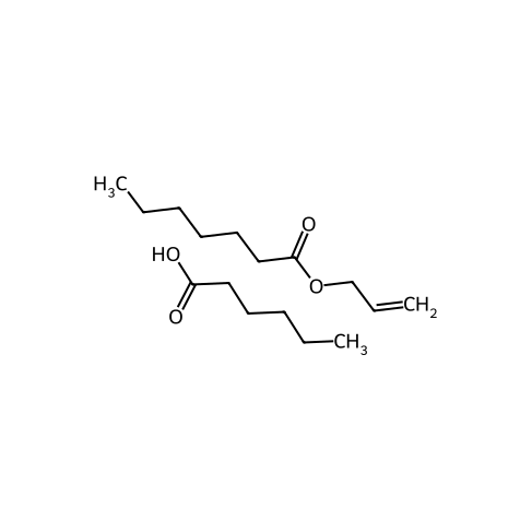 C=CCOC(=O)CCCCCC.CCCCCC(=O)O